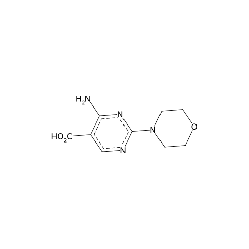 Nc1nc(N2CCOCC2)ncc1C(=O)O